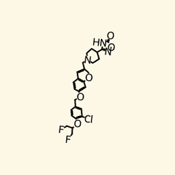 O=c1[nH]c(C2CCN(CC3=Cc4ccc(OCc5ccc(OC(CF)CF)c(Cl)c5)cc4OC3)CC2)no1